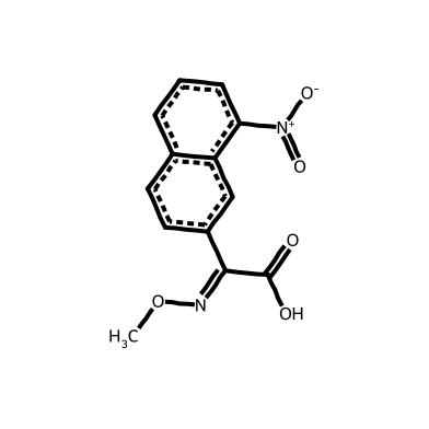 CO/N=C(/C(=O)O)c1ccc2cccc([N+](=O)[O-])c2c1